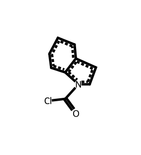 O=C(Cl)n1ccc2ccccc21